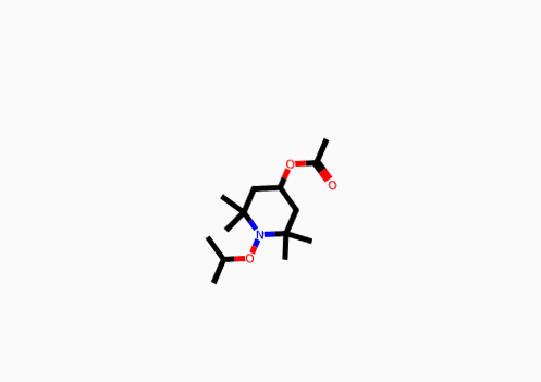 CC(=O)OC1CC(C)(C)N(OC(C)C)C(C)(C)C1